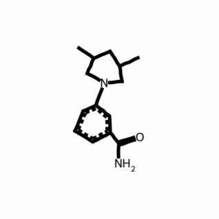 CC1CC(C)CN(c2cccc(C(N)=O)c2)C1